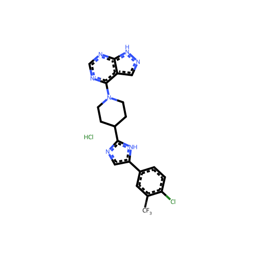 Cl.FC(F)(F)c1cc(-c2cnc(C3CCN(c4ncnc5[nH]ncc45)CC3)[nH]2)ccc1Cl